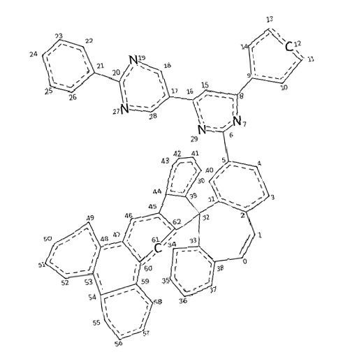 C1=Cc2ccc(-c3nc(-c4ccccc4)cc(-c4cnc(-c5ccccc5)nc4)n3)cc2C2(c3ccccc31)c1ccccc1-c1cc3c4ccccc4c4ccccc4c3cc12